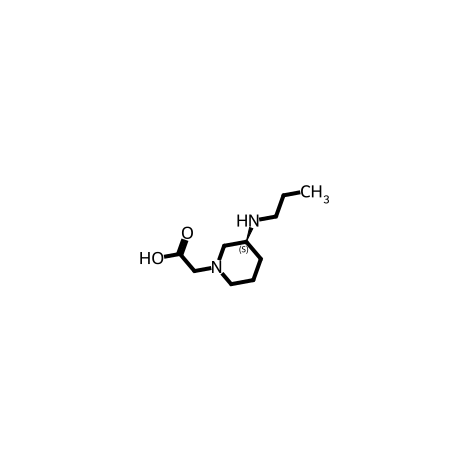 CCCN[C@H]1CCCN(CC(=O)O)C1